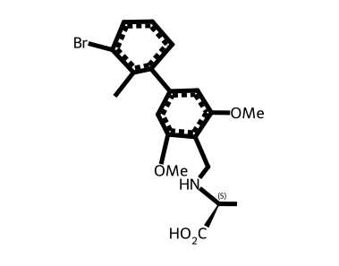 COc1cc(-c2cccc(Br)c2C)cc(OC)c1CN[C@@H](C)C(=O)O